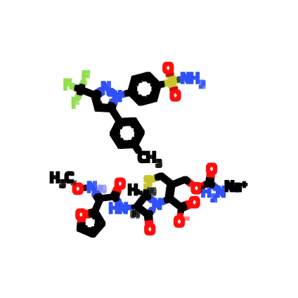 CO/N=C(/C(=O)N[C@@H]1C(=O)N2C(C(=O)[O-])=C(COC(N)=O)CS[C@H]12)c1ccco1.Cc1ccc(-c2cc(C(F)(F)F)nn2-c2ccc(S(N)(=O)=O)cc2)cc1.[Na+]